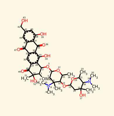 COC1C(OC2CC(C)(N(C)C)C(OC3CC(C)(O)C(N(C)C)C(C)O3)C(C)O2)c2c(cc3c(c2O)C(=O)c2c(O)cc(CO)cc2C3=O)C(=O)C1(C)O